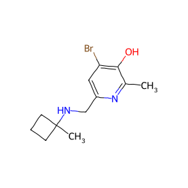 Cc1nc(CNC2(C)CCC2)cc(Br)c1O